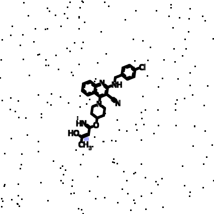 C/C(O)=C/C(=N)OC1CCN(c2c(C#N)c(NCc3ccc(Cl)cc3)nc3ccccc23)CC1